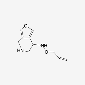 C=CCONC1CNCc2cocc21